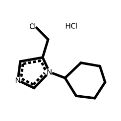 Cl.ClCc1cncn1C1CCCCC1